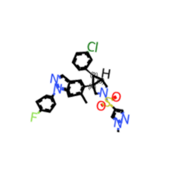 Cc1cc2c(cnn2-c2ccc(F)cc2)cc1[C@]12CN(S(=O)(=O)c3cnn(C)c3)C[C@H]1[C@@H]2c1cccc(Cl)c1